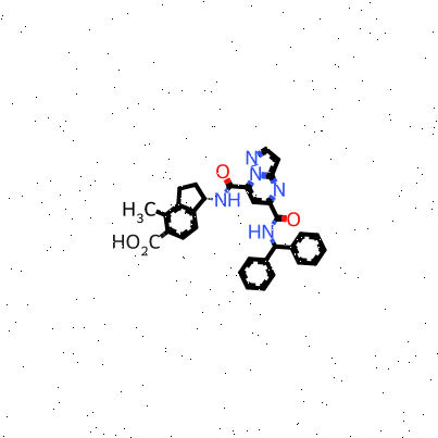 Cc1c(C(=O)O)ccc2c1CC[C@@H]2NC(=O)c1cc(C(=O)NC(c2ccccc2)c2ccccc2)nc2ccnn12